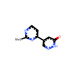 CSc1nccc(-c2cn[nH]c(=O)c2)n1